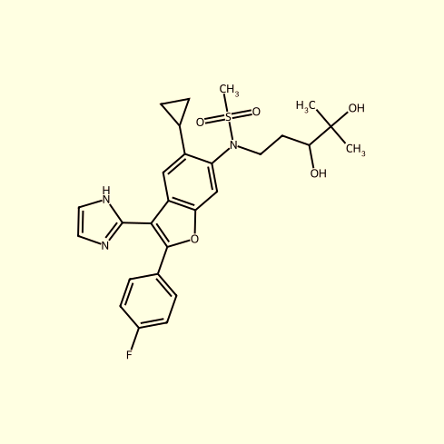 CC(C)(O)C(O)CCN(c1cc2oc(-c3ccc(F)cc3)c(-c3ncc[nH]3)c2cc1C1CC1)S(C)(=O)=O